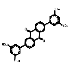 CC(C)(C)c1cc(-c2ccc3c(c2)C(=O)c2ccc(-c4cc(C(C)(C)C)cc(C(C)(C)C)c4)cc2C3=O)cc(C(C)(C)C)c1